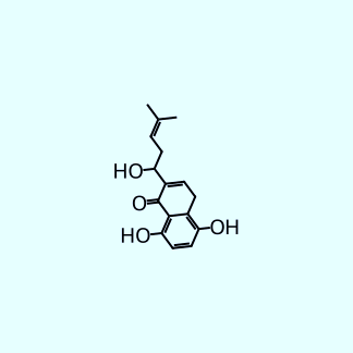 CC(C)=CCC(O)C1=CCc2c(O)ccc(O)c2C1=O